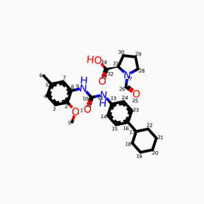 COc1ccc(C)cc1NC(=O)Nc1ccc(C2CCCCC2)cc1.O=CN1CCC[C@@H]1C(=O)O